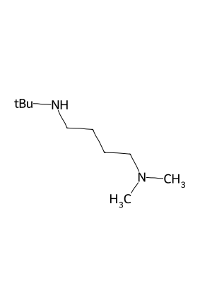 CN(C)CCCCNC(C)(C)C